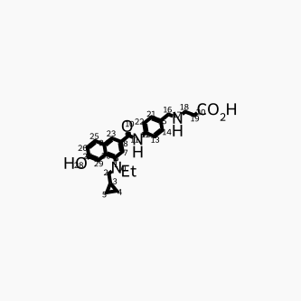 CCN(CC1CC1)c1cc(C(=O)Nc2ccc(CNCCC(=O)O)cc2)cc2ccc(O)cc12